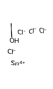 CO.[Cl-].[Cl-].[Cl-].[Cl-].[Sn+4]